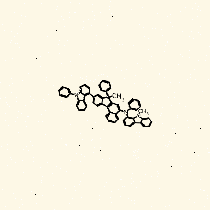 Cn1c2ccccc2c2cccc(N(c3ccccc3)c3cc4c(c5ccccc35)-c3ccc(-c5cccc6c5c5ccccc5n6-c5ccccc5)cc3C4(C)c3ccccc3)c21